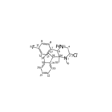 CN1C(Cl)CNC(c2ccc(F)cc2)C1(C)C1CCc2ccccc21